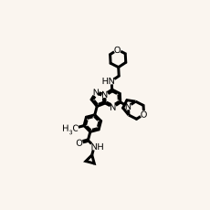 Cc1cc(-c2cnn3c(NCC4CCOCC4)cc(N4C5CCC4COC5)nc23)ccc1C(=O)NC1CC1